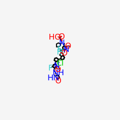 COc1nc(O[C@H]2CCc3c(-c4cccc(-c5cc(F)c(CNC[C@@H]6CCC(=O)N6)c(OC)n5)c4Cl)cccc32)c(C(F)(F)F)cc1CN(CCC(=O)O)C1CCCCC1